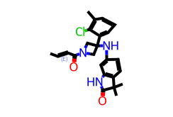 C/C=C/C(=O)N1CC(Nc2ccc3c(c2)NC(=O)C3(C)C)(c2cccc(C)c2Cl)C1